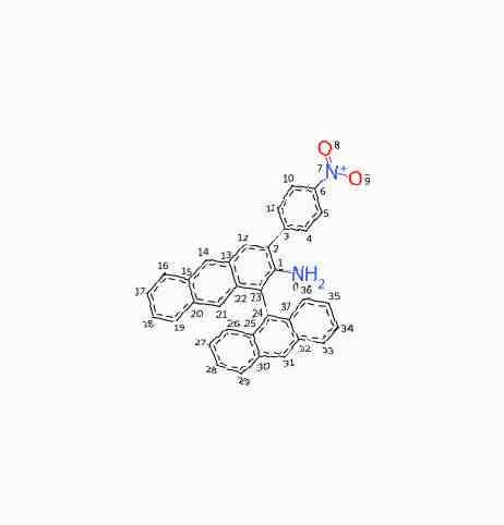 Nc1c(-c2ccc([N+](=O)[O-])cc2)cc2cc3ccccc3cc2c1-c1c2ccccc2cc2ccccc12